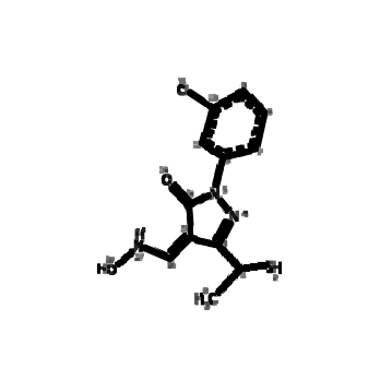 CC(S)C1=NN(c2cccc(Cl)c2)C(=O)C1=CNO